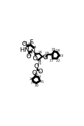 O=C(OC[C@@H]1O[C@H](n2cc(F)c(=O)[nH]c2=O)CC1OCc1ccccc1)Oc1ccccc1